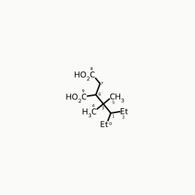 CCC(CC)C(C)(C)C(CC(=O)O)C(=O)O